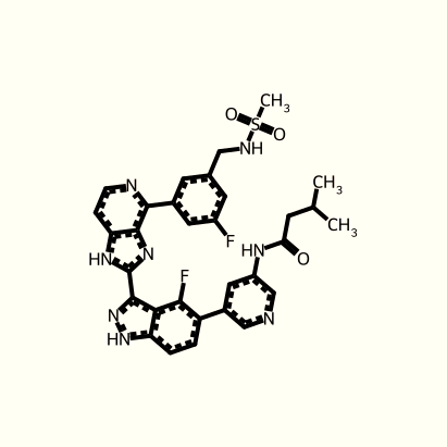 CC(C)CC(=O)Nc1cncc(-c2ccc3[nH]nc(-c4nc5c(-c6cc(F)cc(CNS(C)(=O)=O)c6)nccc5[nH]4)c3c2F)c1